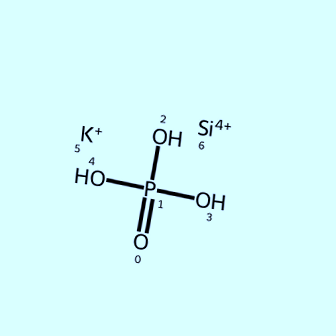 O=P(O)(O)O.[K+].[Si+4]